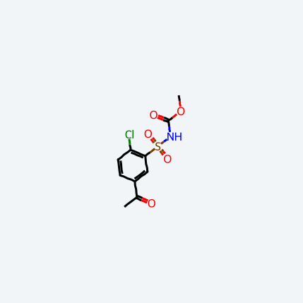 COC(=O)NS(=O)(=O)c1cc(C(C)=O)ccc1Cl